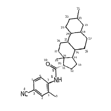 Cc1cc(C#N)ccc1NC(=O)[C@H]1CCC2C3CCC4CC(C)CCC4C3CCC21C